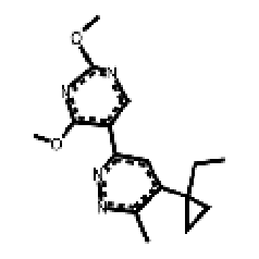 CCC1(c2cc(-c3cnc(OC)nc3OC)nnc2C)CC1